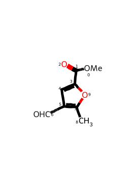 COC(=O)c1cc(C=O)c(C)o1